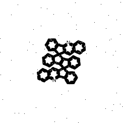 c1ccc2c(c1)C1=C(c3ccccc3C13c1ccccc1-c1nc4ccccc4cc13)C21c2ccccc2-c2nc3ccccc3cc21